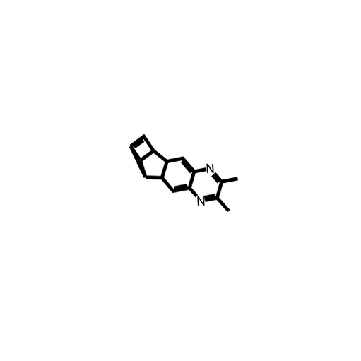 Cc1nc2c(nc1C)=CC1C(C=2)C2C=C3C2C31